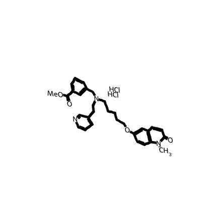 COC(=O)c1cccc(CN(CCCCCOc2ccc3c(ccc(=O)n3C)c2)CCc2cccnc2)c1.Cl.Cl